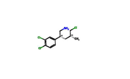 C[C@@H](CCl)C[C@@H](CN)c1ccc(Cl)c(Cl)c1